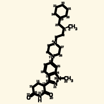 C[C@H](CCN1CCN(c2ccc3c(C4CCC(=O)NC4=O)nn(C)c3c2)CC1)CC1CCCCC1